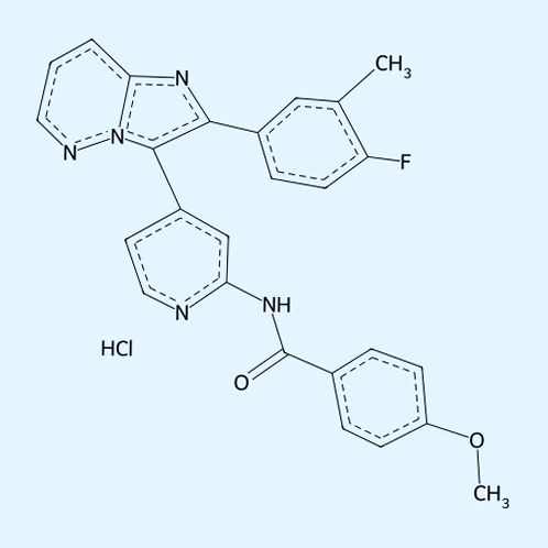 COc1ccc(C(=O)Nc2cc(-c3c(-c4ccc(F)c(C)c4)nc4cccnn34)ccn2)cc1.Cl